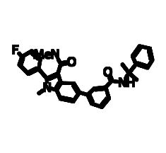 CNC(=O)c1c(-c2ccc(F)cc2)n(C)c2ccc(-c3cccc(C(=O)NC(C)(C)c4ccccc4)c3)cc12